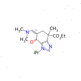 CCOC(=O)C1(C)C/C(=C/N(C)C)C(=O)c2c1ncn2C(C)C